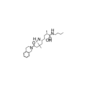 CCCCNC(=O)[C@H](C)C[C@H](O)[C@@H](N)CC(C)(C)CC(=O)N1CCc2ccccc2C1